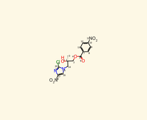 C[C@](O)(COC(=O)c1ccc([N+](=O)[O-])cc1)Cn1cc([N+](=O)[O-])nc1Cl